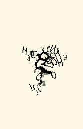 CCOC(=O)C1CCC2=C(O1)C(C)(O)C(C)=CC2C